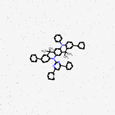 CC1(C)c2cc(-c3ccccc3)ccc2N(c2ccccc2)c2cc3c(cc21)N(c1nc(-c2ccccc2)cc(-c2ccccc2)n1)c1ccc(-c2ccccc2)cc1C3(C)C